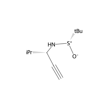 C#C[C@@H](N[S@@+]([O-])C(C)(C)C)C(C)C